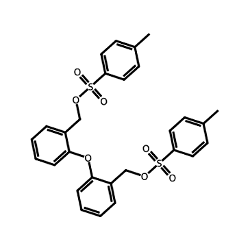 Cc1ccc(S(=O)(=O)OCc2ccccc2Oc2ccccc2COS(=O)(=O)c2ccc(C)cc2)cc1